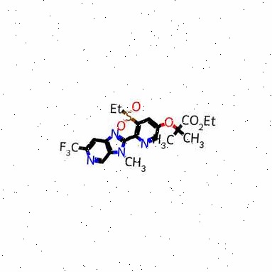 CCOC(=O)C(C)(C)Oc1cnc(-c2nc3cc(C(F)(F)F)ncc3n2C)c(S(=O)(=O)CC)c1